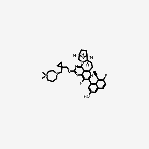 C#Cc1c(F)ccc2cc(O)cc(-c3nc4c5c(nc(OCC6(CN7CCC[Si](C)(C)CC7)CC6)nc5c3F)N3C[C@H]5CC[C@H](N5)[C@H]3CC4)c12